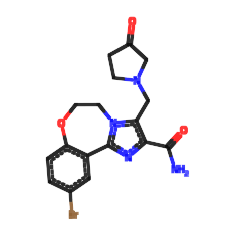 NC(=O)c1nc2n(c1CN1CCC(=O)C1)CCOc1ccc(Br)cc1-2